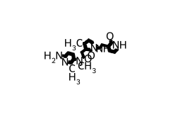 Cc1ccn(NCc2ccc[nH]c2=O)c(=O)c1CC(=O)N(C)c1ccc(N)nc1C